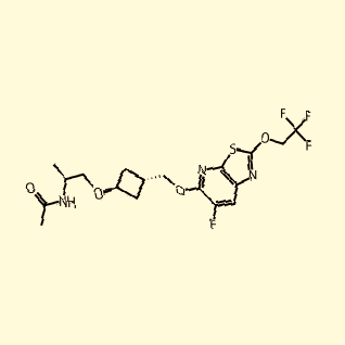 CC(=O)N[C@@H](C)CO[C@H]1C[C@H](COc2nc3sc(OCC(F)(F)F)nc3cc2F)C1